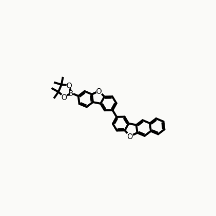 CC1(C)OB(c2ccc3c(c2)oc2ccc(-c4ccc5oc6cc7ccccc7cc6c5c4)cc23)OC1(C)C